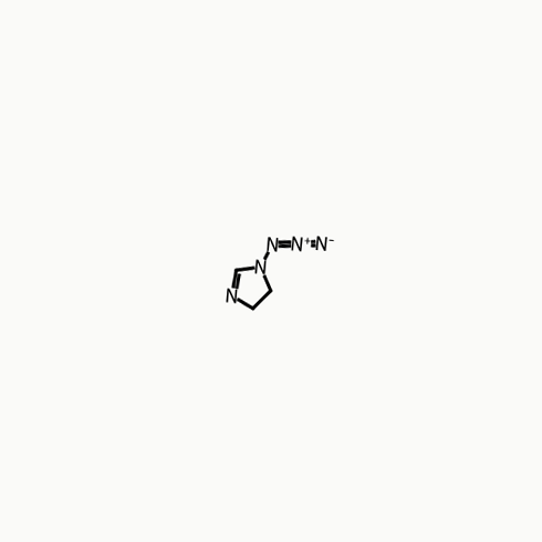 [N-]=[N+]=NN1C=NCC1